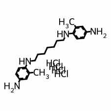 Cc1cc(N)ccc1NCCCCCCCNc1ccc(N)cc1C.Cl.Cl.Cl.Cl